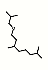 CC(C)CCCC(C)CCOCC(C)C